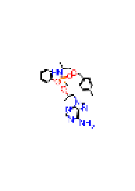 Cc1ccc(COCC(C)NP(=O)(CO[C@H](C)Cn2cnc3c(N)ncnc32)Oc2ccccc2)cc1